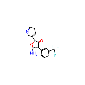 NC1=C(c2cccc(C(F)(F)F)c2)C(=O)C(C2=CCC=NC2)O1